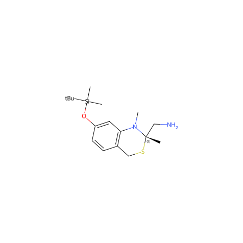 CN1c2cc(O[Si](C)(C)C(C)(C)C)ccc2CS[C@@]1(C)CN